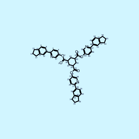 O=C(Oc1ccc(-c2ccc3c(c2)CCC3)nc1)C1CC(C(=O)Oc2ccc(-c3ccc4c(c3)CCC4)nc2)CC(C(=O)Oc2ccc(-c3ccc4c(c3)CCC4)nc2)C1